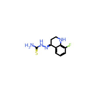 NC(=S)NN=C1CCNc2c(F)cccc21